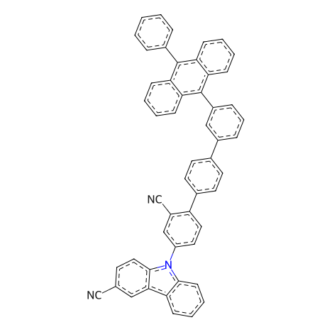 N#Cc1ccc2c(c1)c1ccccc1n2-c1ccc(-c2ccc(-c3cccc(-c4c5ccccc5c(-c5ccccc5)c5ccccc45)c3)cc2)c(C#N)c1